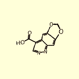 O=C(O)c1cnnc2cc3c(cc12)OCO3